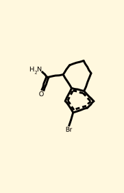 NC(=O)C1CCCc2ccc(Br)cc21